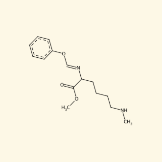 CNCCCCC(N=COc1ccccc1)C(=O)OC